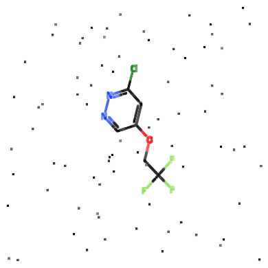 FC(F)(F)COc1cnnc(Cl)c1